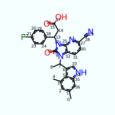 Cc1cc(C)c2c(C(C)n3c(=O)n(C(CC(=O)O)c4ccc(F)cc4)c4nc(C#N)ccc43)c[nH]c2c1